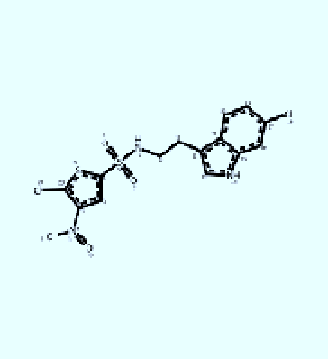 O=[N+]([O-])c1cc(S(=O)(=O)NCCc2c[nH]c3cc(Cl)ccc23)sc1Cl